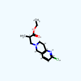 CCOC(=O)C(C)CN1CCc2nc(Cl)ccc2C1